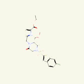 CCOC(=O)c1csc(CN2C(=O)CN(S(=O)(=O)c3cc4ccc(Cl)cc4s3)C[C@@H]2COC)n1